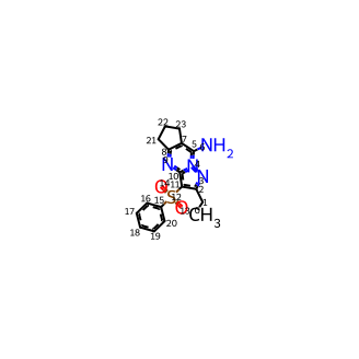 CCc1nn2c(N)c3c(nc2c1S(=O)(=O)c1ccccc1)CCC3